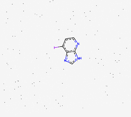 Ic1ccnc2[nH]cnc12